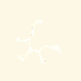 C=C(C(=O)OCO)C(O)CC